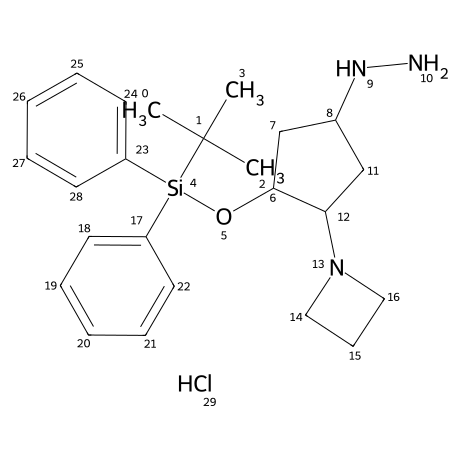 CC(C)(C)[Si](OC1CC(NN)CC1N1CCC1)(c1ccccc1)c1ccccc1.Cl